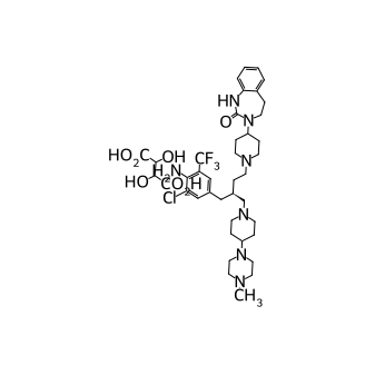 CN1CCN(C2CCN(C[C@H](CCN3CCC(N4CCc5ccccc5NC4=O)CC3)Cc3cc(Cl)c(N)c(C(F)(F)F)c3)CC2)CC1.O=C(O)C(O)C(O)C(=O)O